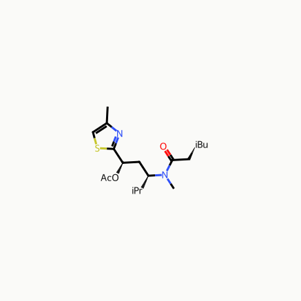 CC[C@H](C)CC(=O)N(C)[C@H](C[C@@H](OC(C)=O)c1nc(C)cs1)C(C)C